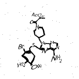 CC(=O)O[C@@H](C)C(=O)N1CCC(n2c(Sc3cc(O)c(O)cc3Br)nc3c(N)ncnc32)CC1